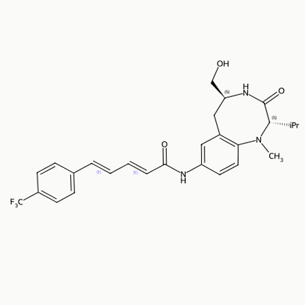 CC(C)[C@H]1C(=O)N[C@H](CO)Cc2cc(NC(=O)/C=C/C=C/c3ccc(C(F)(F)F)cc3)ccc2N1C